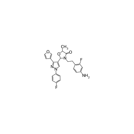 CC1OC(c2cn(-c3ccc(F)cc3)nc2-c2ccoc2)N(CCc2ccc(N)cc2F)C1=O